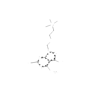 COc1nc(Cl)nc2c1c(C(F)(F)F)nn2COCC[Si](C)(C)C